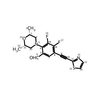 C[C@@H]1CN(c2c(C=O)cc(C#Cc3nccs3)c(F)c2F)C[C@H](C)O1